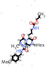 C=CCOC(=O)NCCC[C@H]1C(=O)N(CCCCCC)C[C@H]2N1C(=O)CN(C)N2C(=O)NCc1ccc(OC)cc1